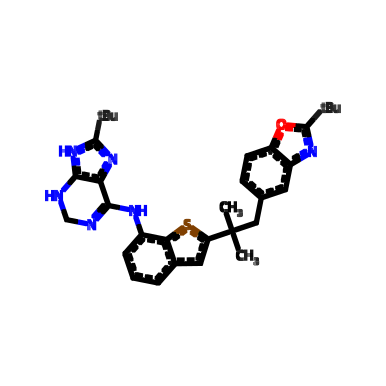 CC(C)(C)c1nc2c([nH]1)NCN=C2Nc1cccc2cc(C(C)(C)Cc3ccc4oc(C(C)(C)C)nc4c3)sc12